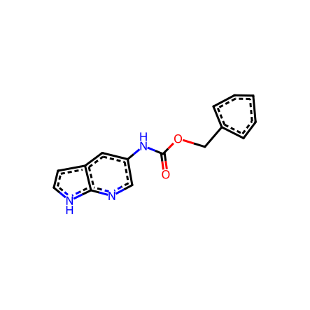 O=C(Nc1cnc2[nH]ccc2c1)OCc1ccccc1